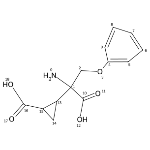 NC(COc1ccccc1)(C(=O)O)C1CC1C(=O)O